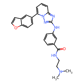 CN(C)CCNC(=O)c1cccc(Nc2nc3cccc(-c4ccc5occc5c4)n3n2)c1